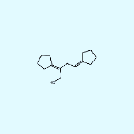 OCC(CC=C1CCCC1)=C1CCCC1